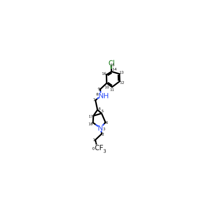 FC(F)(F)CCN1CC2C(CNCc3cccc(Cl)c3)C2C1